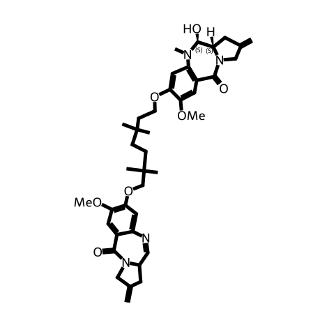 C=C1CC2C=Nc3cc(OCC(C)(C)CCC(C)(C)CCOc4cc5c(cc4OC)C(=O)N4CC(=C)C[C@H]4[C@H](O)N5C)c(OC)cc3C(=O)N2C1